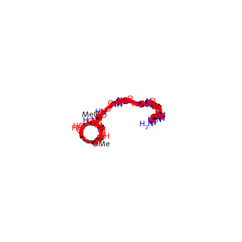 CO[C@H]1C[C@@H]2CC[C@@H](C)[C@@](O)(O2)C(=O)C(=O)N2CCCC[C@H]2C(=O)O[C@H]([C@H](N)C[C@@H]2CC[C@@H](OC(=O)NCCOCCC(=O)NCc3cnc(N4CCN(C(=O)CCOCCN5CCN(c6cnc(C(=O)C7CCc8cc(CC9N=C(c%10ccc%11oc(N)nc%11c%10)c%10c(N)ncnc%109)ccc8C7)nc6)CC5)CC4)nc3)[C@H](OC)C2)C[C@@H](O)[C@H](C)/C=C(\C)[C@@H](O)[C@@H](O)C(=O)[C@H](C)C[C@H](C)/C=C/C=C/C=C/1C